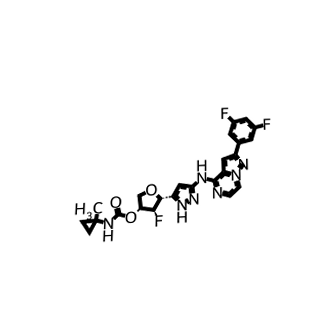 CC1(NC(=O)O[C@@H]2CO[C@H](c3cc(Nc4nccn5nc(-c6cc(F)cc(F)c6)cc45)n[nH]3)[C@@H]2F)CC1